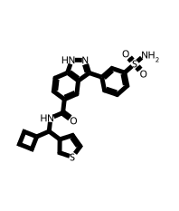 NS(=O)(=O)c1cccc(-c2n[nH]c3ccc(C(=O)NC(C4C=CSC4)C4CCC4)cc23)c1